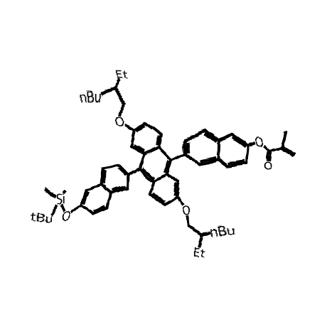 C=C(C)C(=O)Oc1ccc2cc(-c3c4ccc(OCC(CC)CCCC)cc4c(-c4ccc5cc(O[Si](C)(C)C(C)(C)C)ccc5c4)c4ccc(OCC(CC)CCCC)cc34)ccc2c1